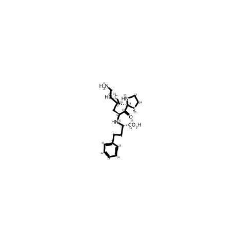 NCCCC[C@H](N[C@@H](CCc1ccccc1)C(=O)O)C(=O)[C@@]1(CC(=O)O)NCCS1